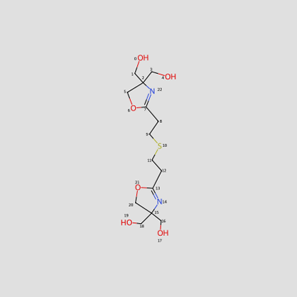 OCC1(CO)COC(CCSCCC2=NC(CO)(CO)CO2)=N1